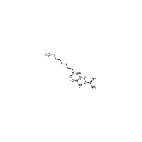 CCCCCCC=CC(=O)N[C@@H](CCC(N)=O)C(=O)O